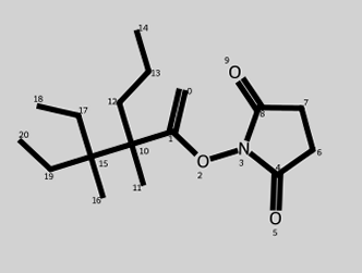 C=C(ON1C(=O)CCC1=O)C(C)(CCC)C(C)(CC)CC